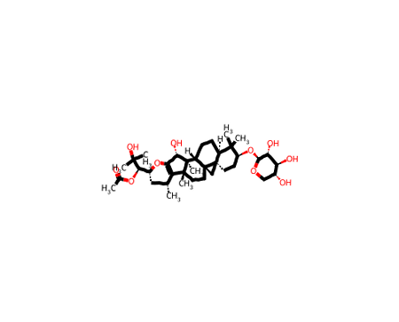 CC(=O)O[C@H]([C@H]1C[C@@H](C)C2=C(O1)[C@H](O)[C@@]1(C)[C@@H]3CC[C@H]4C(C)(C)[C@@H](O[C@@H]5OC[C@@H](O)[C@H](O)[C@H]5O)CC[C@@]45C[C@@]35CC[C@]21C)C(C)(C)O